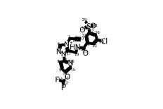 C#CC[n+]1cnn(-c2ccc(OC(F)F)cn2)c1CNC(=O)c1cc(Cl)cc(S(C)(=O)=O)c1